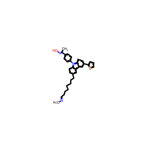 CC(=O)ON=CCCCCCCCc1ccc2c(c1)c1cc(-c3cccs3)ccc1n2-c1ccc(C(C)=NO)cc1